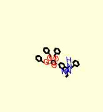 C=Cc1nc(NCc2ccccc2)c2ccc([C@@H]3O[C@H](COCc4ccccc4)[C@@H](OCc4ccccc4)[C@H]3OCc3ccccc3)cc2n1